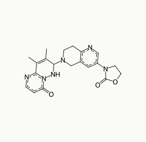 CC1=C(C)C(N2CCc3ncc(N4CCOC4=O)cc3C2)Nn2c1nccc2=O